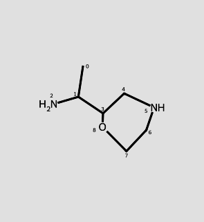 CC(N)C1CNCCO1